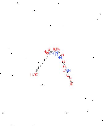 O=[C]COCCOCCNC(=O)COCCOCCNC(=O)CC[C@H](NC(=O)CC[C@H](NC(=O)CCCCCCCCCCCCCCC(=O)O)C(=O)O)C(=O)O